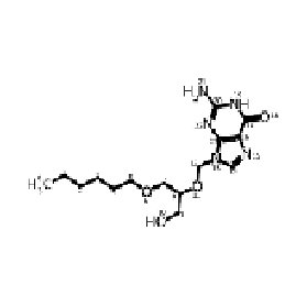 CCCCCCOCC(CO)OCn1cnc2c(=O)[nH]c(N)nc21